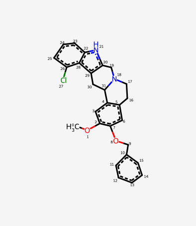 COc1cc2c(cc1OCc1ccccc1)CCN1Cc3[nH]c4cccc(Cl)c4c3CC21